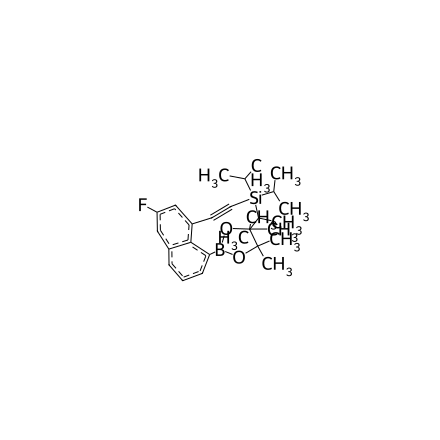 CC(C)[Si](C#Cc1cc(F)cc2cccc(B3OC(C)(C)C(C)(C)O3)c12)(C(C)C)C(C)C